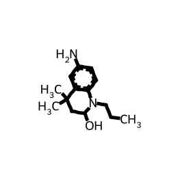 CCCN1c2ccc(N)cc2C(C)(C)CC1O